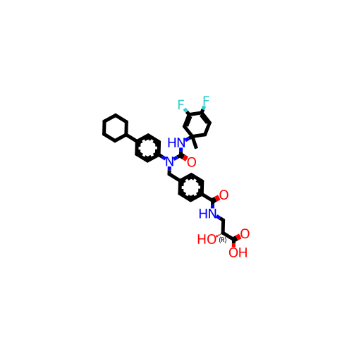 CC1(NC(=O)N(Cc2ccc(C(=O)NC[C@@H](O)C(=O)O)cc2)c2ccc(C3CCCCC3)cc2)C=C(F)C(F)=CC1